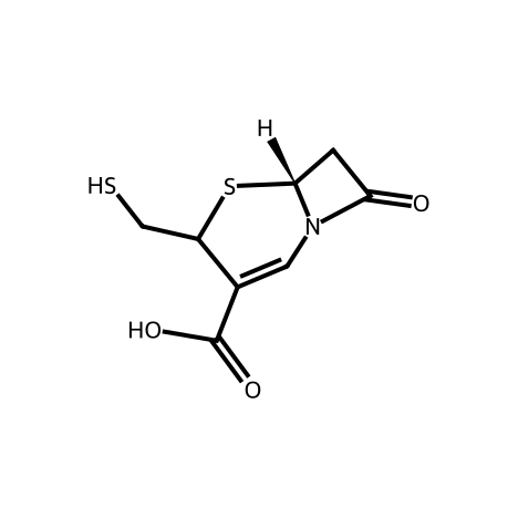 O=C(O)C1=CN2C(=O)C[C@H]2SC1CS